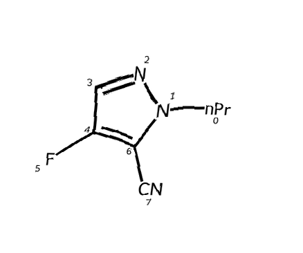 CCCn1n[c]c(F)c1C#N